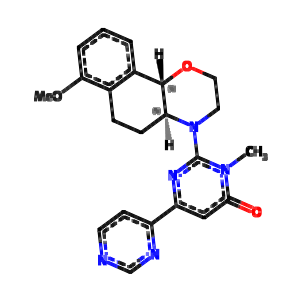 COc1cccc2c1CC[C@H]1[C@H]2OCCN1c1nc(-c2ccncn2)cc(=O)n1C